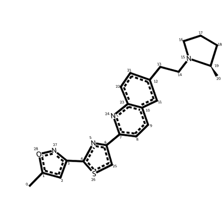 Cc1cc(-c2nc(-c3ccc4cc(CCN5CCC[C@H]5C)ccc4n3)cs2)no1